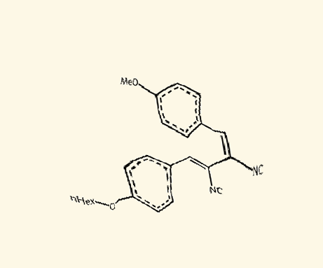 [C-]#[N+]C(=Cc1ccc(OC)cc1)C(=Cc1ccc(OCCCCCC)cc1)[N+]#[C-]